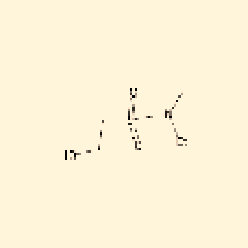 CCN(C)S(=O)(=O)CCO